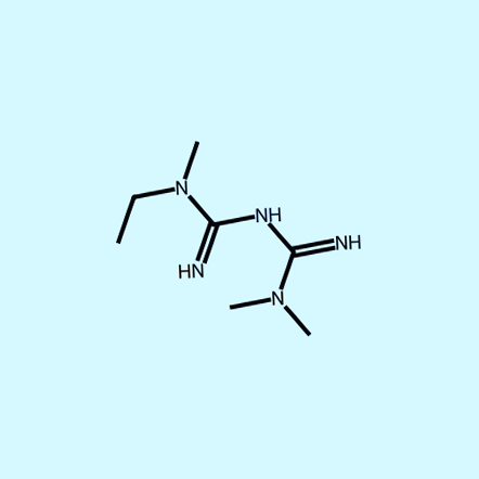 CCN(C)C(=N)NC(=N)N(C)C